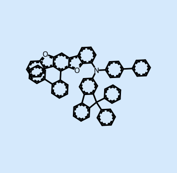 c1ccc(-c2ccc(N(c3ccc4c(c3)C(c3ccccc3)(c3ccccc3)c3ccccc3-4)c3cccc4c3oc3c(-c5ccccc5-c5ccccc5)c5c(cc34)oc3ccccc35)cc2)cc1